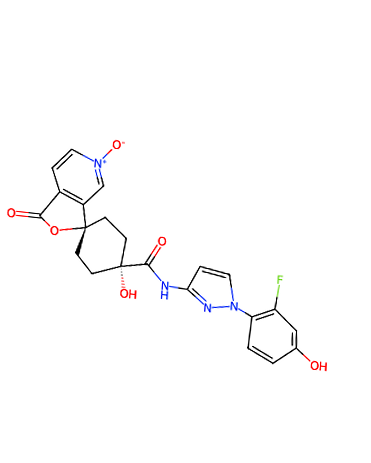 O=C1O[C@]2(CC[C@](O)(C(=O)Nc3ccn(-c4ccc(O)cc4F)n3)CC2)c2c[n+]([O-])ccc21